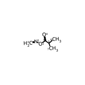 C=NOC(=O)C(C)C